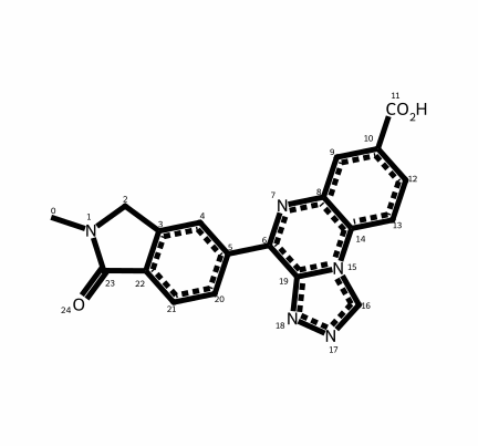 CN1Cc2cc(-c3nc4cc(C(=O)O)ccc4n4cnnc34)ccc2C1=O